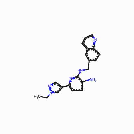 CCn1cc(-c2ccc(N)c(NCc3ccc4ncccc4c3)n2)cn1